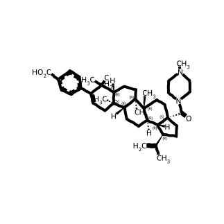 C=C(C)[C@@H]1CC[C@]2(C(=O)N3CCN(C)CC3)CC[C@]3(C)[C@H](CC[C@@H]4[C@@]5(C)CC=C(c6ccc(C(=O)O)cc6)C(C)(C)[C@@H]5CC[C@]43C)[C@@H]12